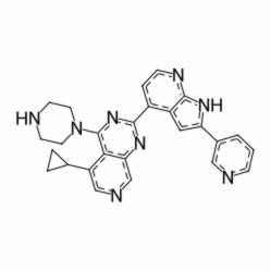 c1cncc(-c2cc3c(-c4nc(N5CCNCC5)c5c(C6CC6)cncc5n4)ccnc3[nH]2)c1